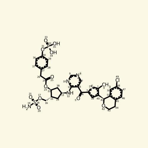 Cc1sc(C(=O)c2cncnc2N[C@H]2C[C@H](COS(N)(=O)=O)[C@@H](OC(=O)Cc3ccc(OP(=O)(O)O)cc3)C2)cc1[C@@H]1OCCc2ccc(Cl)cc21